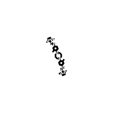 Cc1cc(/N=N/c2n(C)cc[n+]2C)ccc1N1CCCN(c2ccc(/N=N/c3n(C)cc[n+]3C)cc2C)CCC1